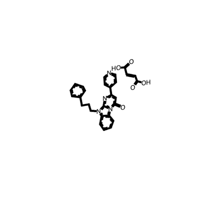 O=C(O)C=CC(=O)O.O=c1cc(-c2ccncc2)nc2n(CCCc3ccccc3)c3ccccc3n12